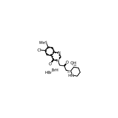 Br.Br.CSc1cc2ncn(CC(=O)C[C@@H]3NCCC[C@H]3O)c(=O)c2cc1Cl